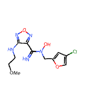 COCCNc1nonc1C(=N)N(O)Cc1cc(Cl)co1